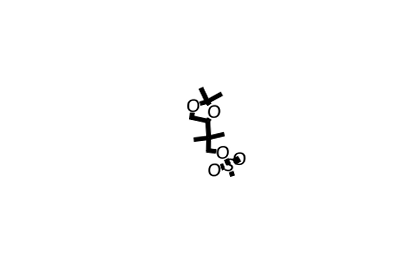 CC1(C)OCC(C(C)(C)COS(C)(=O)=O)O1